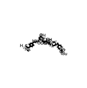 Cc1ncsc1-c1ccc(CCNC(=O)[C@@H]2C[C@@H](O)CN2C(=O)C(C)(C)[C@H](C)NC(=O)CN2CCN(CC3CCN(C(=O)OC(C)(C)C)CC3)CC2)cc1